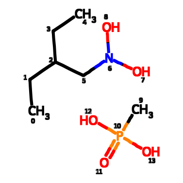 CCC(CC)CN(O)O.CP(=O)(O)O